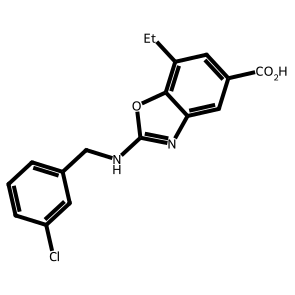 CCc1cc(C(=O)O)cc2nc(NCc3cccc(Cl)c3)oc12